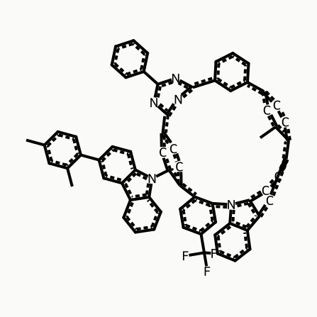 Cc1ccc(-c2ccc3c(c2)c2ccccc2n3-c2cc3ccc2c2ccc(C(F)(F)F)cc2n2c4ccccc4c4cc(ccc42)c2ccc(cc2C)c2cccc(c2)c2nc(-c4ccccc4)nc3n2)c(C)c1